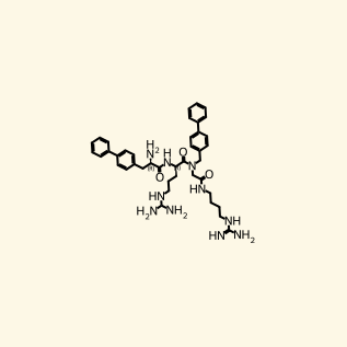 N=C(N)NCCCCNC(=O)CN(Cc1ccc(-c2ccccc2)cc1)C(=O)[C@@H](CCCNC(N)N)NC(=O)[C@H](N)Cc1ccc(-c2ccccc2)cc1